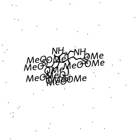 CO[Si](CCCC1(CCC[Si](OC)(OC)OC)CC(CCC[Si](OC)(OC)OC)(CCC[Si](OC)(OC)OC)C(CN)CC1CN)(OC)OC